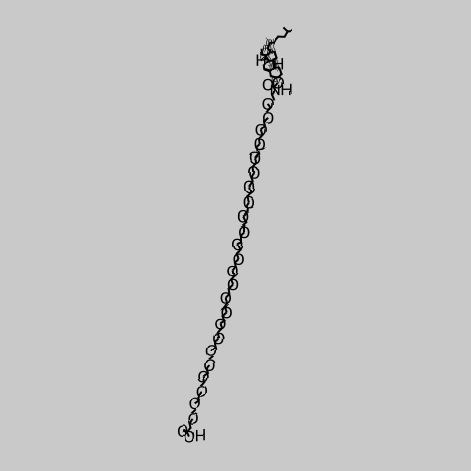 CC(C)CCC[C@@H](C)[C@H]1CC[C@H]2C3CC=C4C[C@@H](OC(=O)NCCOCCOCCOCCOCCOCCOCCOCCOCCOCCOCCOCCOCCOCCOCCOCCOCCOCCOCCOCCOCCOCCOCCOCCOCCC(=O)O)CC[C@]4(C)[C@H]3CC[C@]12C